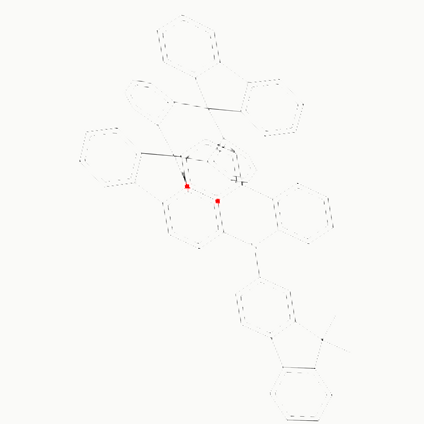 CC1(C)c2ccccc2-c2ccc(N(c3ccc4c(c3)C3(c5ccccc5-4)c4ccccc4C4(c5ccccc5-c5ccccc54)c4ccccc43)c3ccccc3-c3ccccc3)cc21